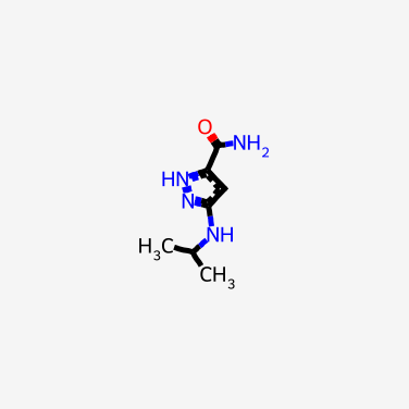 CC(C)Nc1cc(C(N)=O)[nH]n1